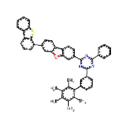 Bc1c(B)c(B)c(-c2cccc(-c3nc(-c4ccccc4)nc(-c4ccc5c(c4)oc4cc(-c6cccc7c6sc6ccccc67)ccc45)n3)c2)c(B)c1B